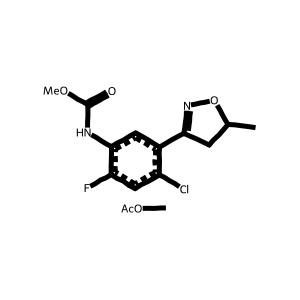 COC(=O)Nc1cc(C2=NOC(C)C2)c(Cl)cc1F.COC(C)=O